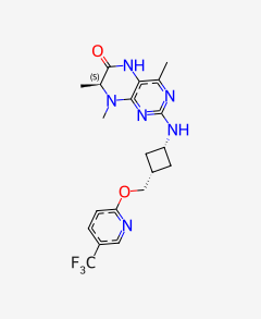 Cc1nc(N[C@H]2C[C@@H](COc3ccc(C(F)(F)F)cn3)C2)nc2c1NC(=O)[C@H](C)N2C